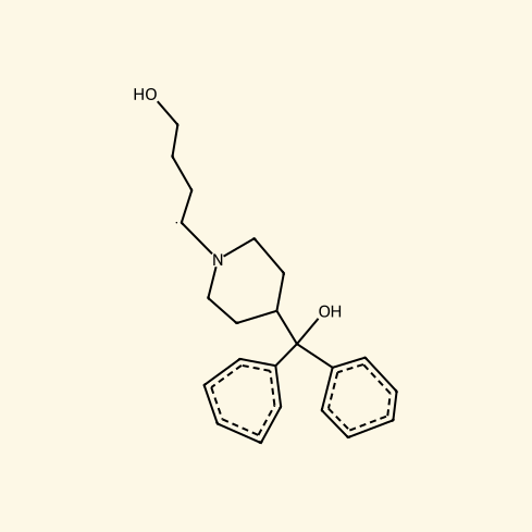 OCCC[CH]N1CCC(C(O)(c2ccccc2)c2ccccc2)CC1